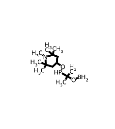 BOC(C)(C)POC1CC(C)(C)N(C)C(C)(C)C1